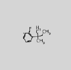 CCC(C)(C)c1ccc[c]c1F